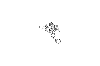 CC(C)[C@]1(S(=O)(=O)c2ccc(CN3CCCCC3)cc2)C(=O)N(S(C)(=O)=O)C2=CCN[C@H]21.Cl